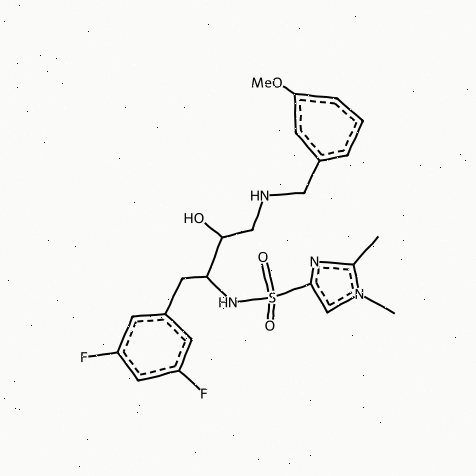 COc1cccc(CNCC(O)C(Cc2cc(F)cc(F)c2)NS(=O)(=O)c2cn(C)c(C)n2)c1